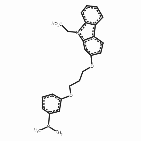 CN(C)c1cccc(OCCCOc2ccc3c4ccccc4n(CC(=O)O)c3c2)c1